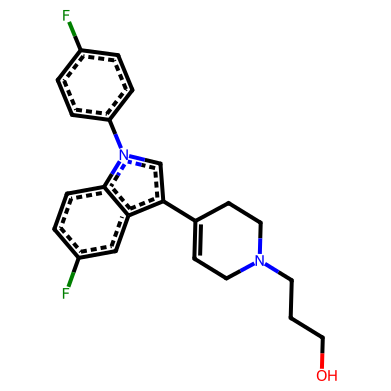 OCCCN1CC=C(c2cn(-c3ccc(F)cc3)c3ccc(F)cc23)CC1